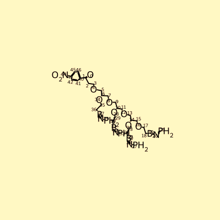 O=C(CCOCC(COCC(COCC(COCC/B=N/P)OCC/B=N/P)OCC/B=N/P)OCC/B=N/P)c1ccc([N+](=O)[O-])cc1